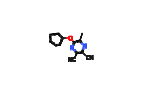 Cc1nc(C#N)c(C#N)nc1Oc1ccccc1